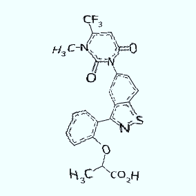 CC(Oc1ccccc1-c1nsc2ccc(-n3c(=O)cc(C(F)(F)F)n(C)c3=O)cc12)C(=O)O